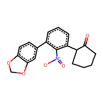 O=C1CCCCC1c1cccc(-c2ccc3c(c2)OCO3)c1[N+](=O)[O-]